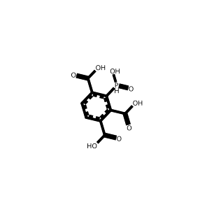 O=C(O)c1ccc(C(=O)O)c([PH](=O)O)c1C(=O)O